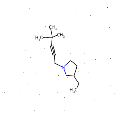 CCC1CCN(CC#CC(C)(C)C)C1